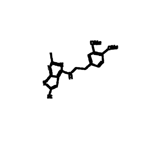 CCc1cc2c(NCCc3ccc(OC)c(OC)c3)nc(C)nc2s1